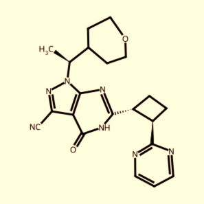 C[C@@H](C1CCOCC1)n1nc(C#N)c2c(=O)[nH]c([C@@H]3CC[C@H]3c3ncccn3)nc21